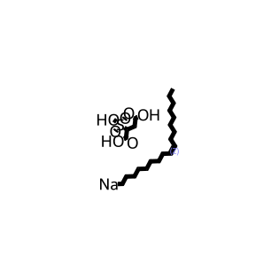 CCCCCCCC/C=C\CCCCCCC[CH2][Na].O=C(O)CC(C(=O)O)S(=O)(=O)O